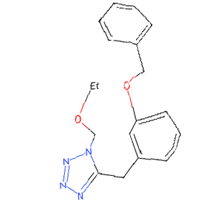 CCOCn1nnnc1Cc1cccc(OCc2ccccc2)c1